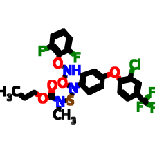 CCCOC(=O)N(C)SN(ONOc1c(F)cccc1F)c1ccc(Oc2ccc(C(F)(F)F)cc2Cl)cc1